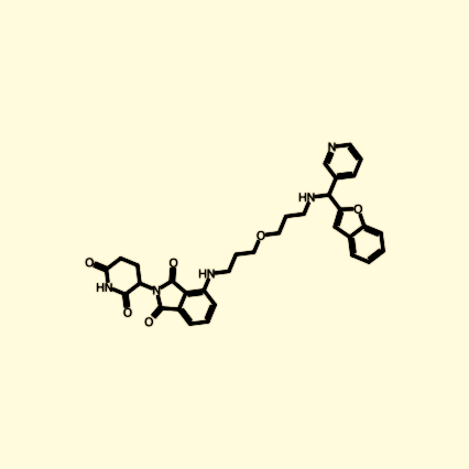 O=C1CCC(N2C(=O)c3cccc(NCCCOCCCNC(c4cccnc4)c4cc5ccccc5o4)c3C2=O)C(=O)N1